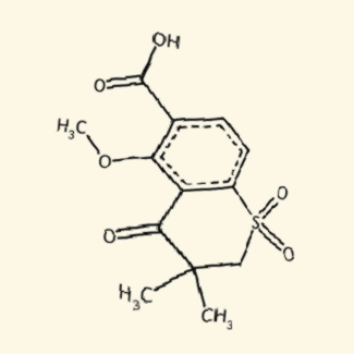 COc1c(C(=O)O)ccc2c1C(=O)C(C)(C)CS2(=O)=O